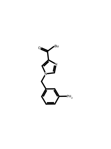 CCC(C)C(=O)c1cn(Cc2cccc(P)c2)cn1